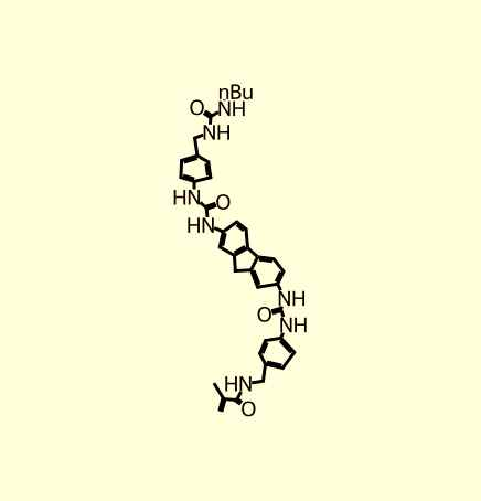 C=C(C)C(=O)NCc1ccc(NC(=O)Nc2ccc3c(c2)Cc2cc(NC(=O)Nc4ccc(CNC(=O)NCCCC)cc4)ccc2-3)cc1